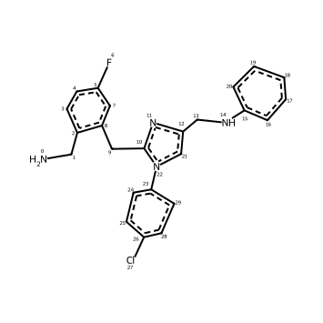 NCc1ccc(F)cc1Cc1nc(CNc2ccccc2)cn1-c1ccc(Cl)cc1